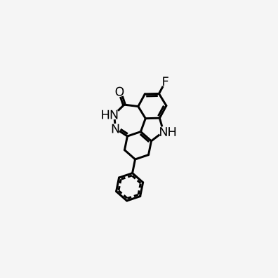 O=C1NN=C2CC(c3ccccc3)CC3=C2C2C(=CC(F)=CC12)N3